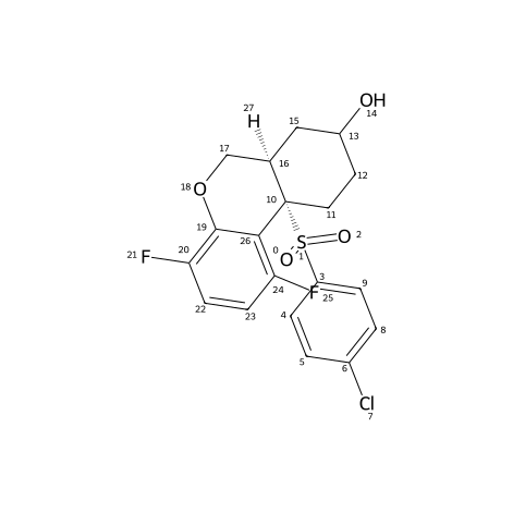 O=S(=O)(c1ccc(Cl)cc1)[C@@]12CCC(O)C[C@@H]1COc1c(F)ccc(F)c12